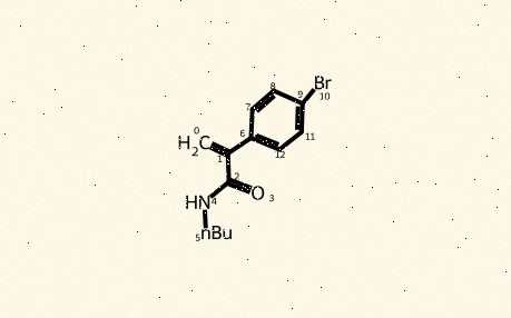 C=C(C(=O)NCCCC)c1ccc(Br)cc1